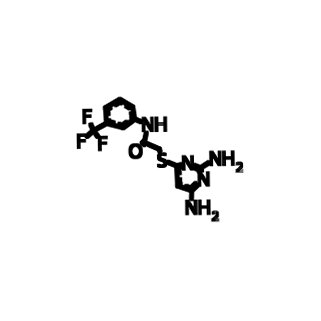 Nc1cc(SCC(=O)Nc2cccc(C(F)(F)F)c2)nc(N)n1